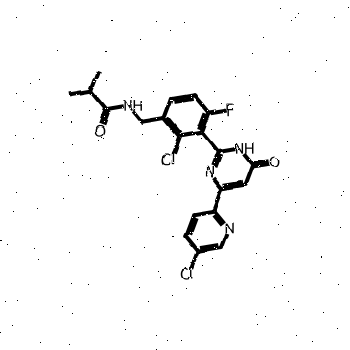 CC(C)C(=O)NCc1ccc(F)c(-c2nc(-c3ccc(Cl)cn3)cc(=O)[nH]2)c1Cl